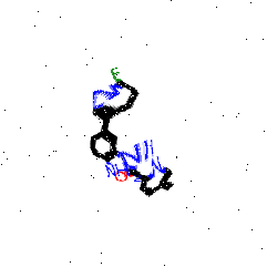 Cc1ccc(C(=O)Nc2cc(-c3ccc(F)nc3)ccc2N)nc1